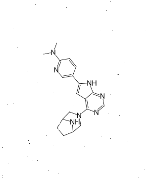 CN(C)c1ccc(-c2cc3c(N4CC5CCC(C4)N5)ncnc3[nH]2)cn1